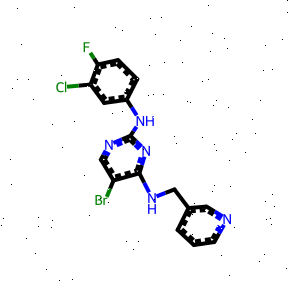 Fc1ccc(Nc2ncc(Br)c(NCc3cccnc3)n2)cc1Cl